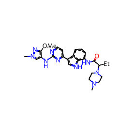 CCC(C(=O)Nc1cccc2c(-c3ccnc(Nc4cn(C)nc4OC)n3)c[nH]c12)N1CCN(C)CC1